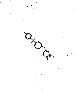 C=C(N)/C=C\C(=C/C)CC1C=CC(C(C)(C)c2ccc(C)cc2)=CCC1